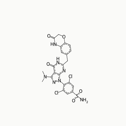 CN(C)c1nn(-c2c(Cl)cc(S(N)(=O)=O)cc2Cl)c2nc(Cc3ccc4c(c3)NC(=O)CO4)[nH]c(=O)c12